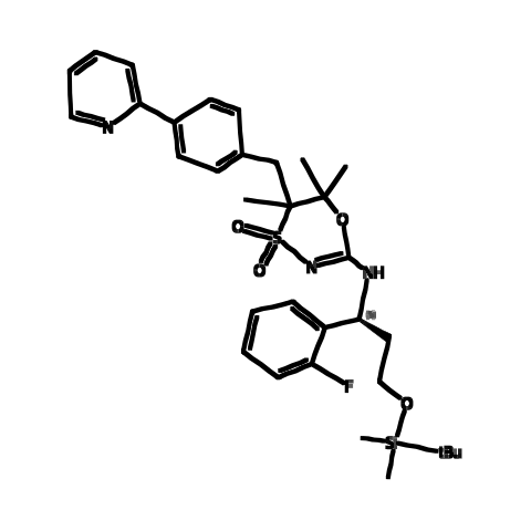 CC1(C)OC(N[C@@H](CCO[Si](C)(C)C(C)(C)C)c2ccccc2F)=NS(=O)(=O)C1(C)Cc1ccc(-c2ccccn2)cc1